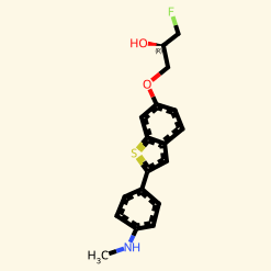 CNc1ccc(-c2cc3ccc(OC[C@@H](O)CF)cc3s2)cc1